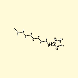 [CH2]CCCCCCCCC[SH]1C=CC=C1